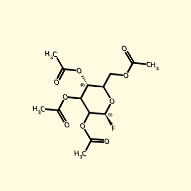 CC(=O)OCC1O[C@@H](F)C(OC(C)=O)C(OC(C)=O)[C@@H]1OC(C)=O